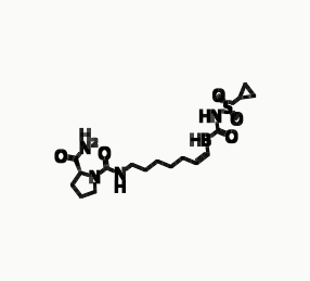 NC(=O)[C@@H]1CCCN1C(=O)NCCCCC/C=C\BC(=O)NS(=O)(=O)C1CC1